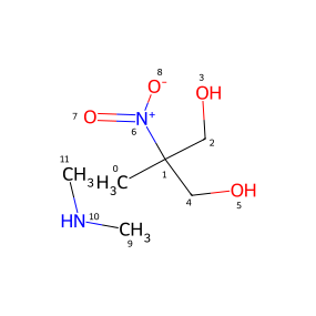 CC(CO)(CO)[N+](=O)[O-].CNC